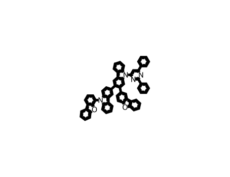 c1ccc(-c2cc(-n3c4ccccc4c4cc(-c5ccc6c(c5)c5ccccc5n6-c5cccc6c5oc5ccccc56)c(-c5ccc6oc7ccccc7c6c5)cc43)nc(-c3ccccc3)n2)cc1